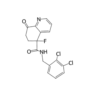 O=C1CCC(F)(C(=O)NCc2cccc(Cl)c2Cl)c2cccnc21